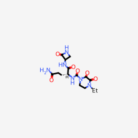 CCN1CCN(C(=O)N[C@H](CCC(N)=O)C(=O)NC2CNC2=O)C(=O)C1=O